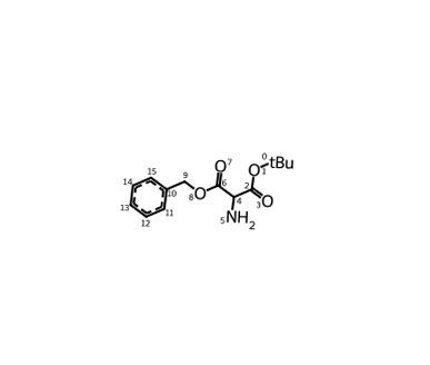 CC(C)(C)OC(=O)C(N)C(=O)OCc1ccccc1